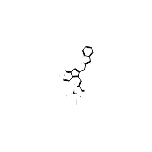 O=C1NC(=O)C(=Cc2c(Cc3cc4ccccc4s3)cc3coccc2-3)S1